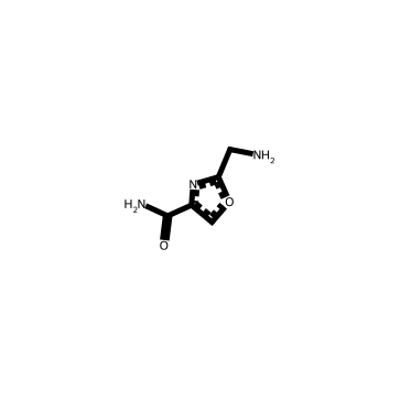 NCc1nc(C(N)=O)co1